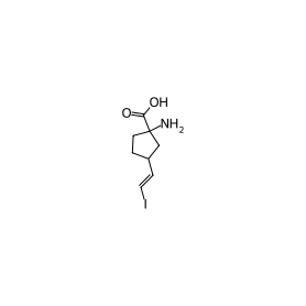 NC1(C(=O)O)CCC(C=CI)C1